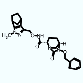 Cn1nc(CONC(=O)[C@@H]2CC[C@@H]3CN2C(=O)N3OCc2ccccc2)c2c1C1CCC2C1